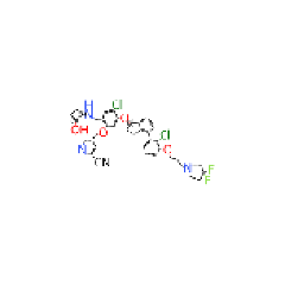 N#Cc1cncc(COc2cc(O[C@H]3CCc4c(-c5cccc(OCCCN6CCC(F)(F)CC6)c5Cl)cccc43)c(Cl)cc2CN[C@H]2CC[C@@H]2O)c1